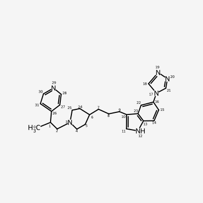 CC(CN1CCC(CCCc2c[nH]c3ccc(-n4cnnc4)cc23)CC1)c1ccncc1